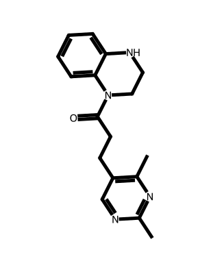 Cc1ncc(CCC(=O)N2CCNc3ccccc32)c(C)n1